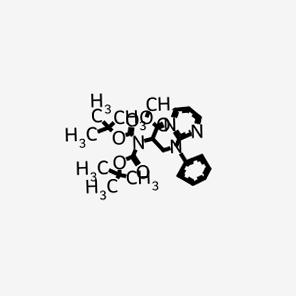 COC(=O)C(CN(c1ccccc1)c1ncccn1)N(C(=O)OC(C)(C)C)C(=O)OC(C)(C)C